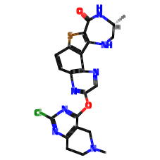 C[C@@H]1CNc2c(sc3ccc4nc(Oc5nc(Cl)nc6c5CN(C)CC6)cnc4c23)C(=O)N1